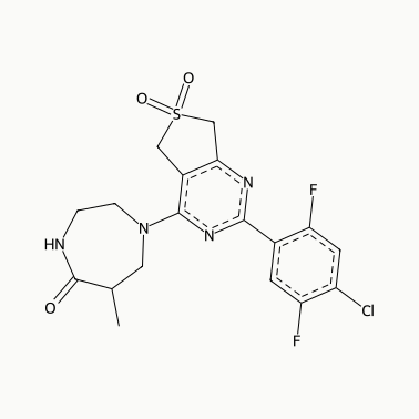 CC1CN(c2nc(-c3cc(F)c(Cl)cc3F)nc3c2CS(=O)(=O)C3)CCNC1=O